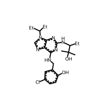 CCC(CC)n1cnc2c(NCc3cc(Cl)ccc3O)nc(NC(CC)C(C)(C)O)nc21